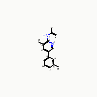 C=C(C)Nc1ncc(-c2cccc(C)c2)cc1C